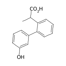 CC(C(=O)O)c1ccccc1-c1cccc(O)c1